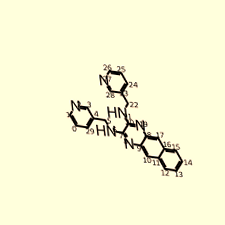 c1cncc(CNc2nc3cc4ccccc4cc3nc2NCc2cccnc2)c1